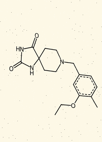 CCOc1cc(CN2CCC3(CC2)NC(=O)NC3=O)ccc1C